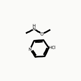 CNOC.Cl.c1ccncc1